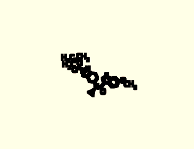 COc1ccc2c(C(=O)N(C3CC3)C3CCc4nn(C(=O)OC(C)(C)C)cc4C3)csc2c1